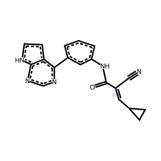 N#C/C(=C\C1CC1)C(=O)Nc1cccc(-c2ncnc3[nH]ccc23)c1